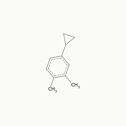 Cc1ccc(C2CC2)cc1C